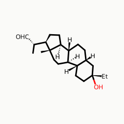 CC[C@@]1(O)CC[C@H]2[C@H](CC[C@@H]3[C@@H]2CC[C@]2(C)[C@@H]([C@H](C)C=O)CC[C@@H]32)C1